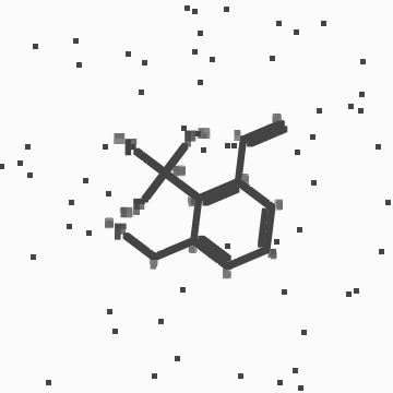 C=Cc1cccc(CF)c1C(F)(F)F